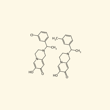 CC(c1cccc(Cl)c1)N1CCn2cc(O)c(=O)cc2C1.Cc1cccc(C(C)N2CCn3cc(O)c(=O)cc3C2)c1